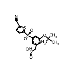 CC(C)(C)Oc1cc(C[SH](=O)=O)cc(S(=O)(=O)c2ccc(C#N)s2)c1